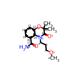 COCCCN1C(=O)C(C)(C)Oc2cc[c]c(C(N)=O)c21